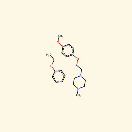 CCOc1ccccc1.COc1ccc(OCCN2CCN(C)CC2)cc1